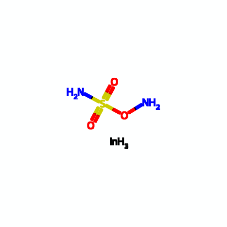 NOS(N)(=O)=O.[InH3]